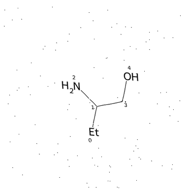 [CH2]CC(N)[CH]O